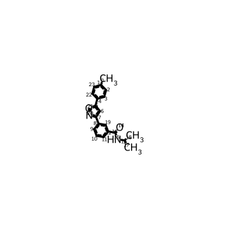 Cc1ccc(-c2cc(-c3cccc(C(=O)NC(C)C)c3)no2)cc1